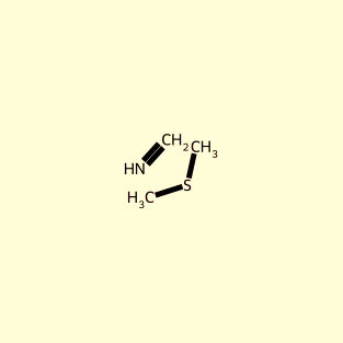 C=N.CSC